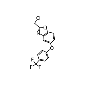 FC(F)(F)c1ccc(Oc2ccc3oc(CCl)nc3c2)cc1